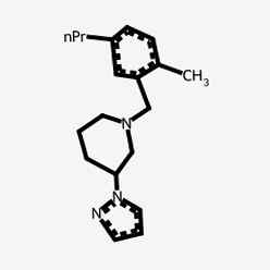 CCCc1ccc(C)c(CN2CCCC(n3cccn3)C2)c1